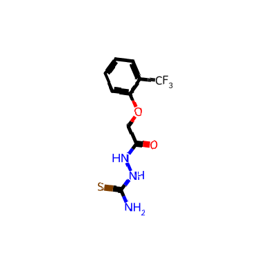 NC(=S)NNC(=O)COc1ccccc1C(F)(F)F